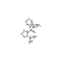 CC(C)C1C2CCC1C(C(=O)N1CCC[C@H]1B(O)O)C2N